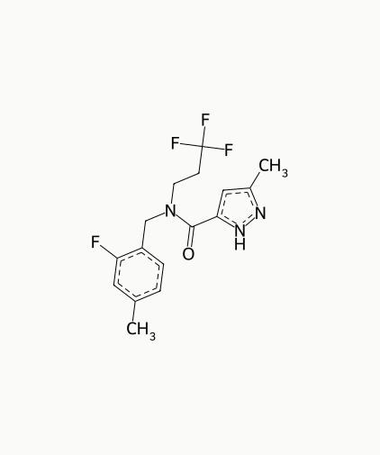 Cc1ccc(CN(CCC(F)(F)F)C(=O)c2cc(C)n[nH]2)c(F)c1